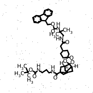 CC(C)(CNC(=O)CC1CCC2(CC1)OOC1(O2)[C@@H]2CC3C[C@H]1CC(C(=O)NCCCNC(=O)OC(C)(C)C)(C3)C2)NC(=O)OCC1c2ccccc2-c2ccccc21